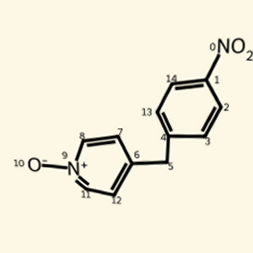 O=[N+]([O-])c1ccc(Cc2cc[n+]([O-])cc2)cc1